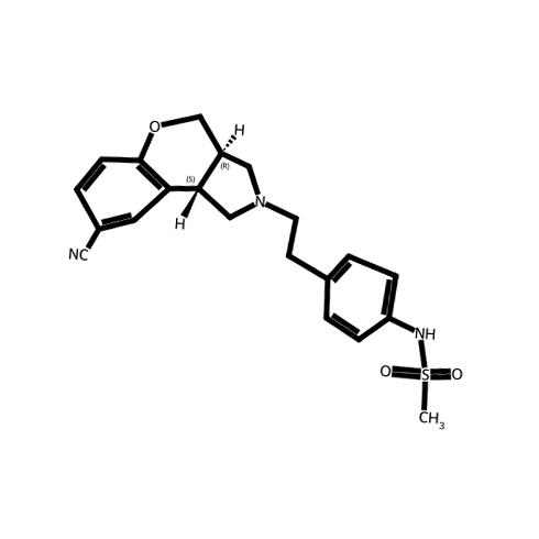 CS(=O)(=O)Nc1ccc(CCN2C[C@@H]3COc4ccc(C#N)cc4[C@H]3C2)cc1